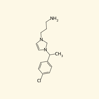 CC(c1ccc(Cl)cc1)N1C=CN(CCCN)C1